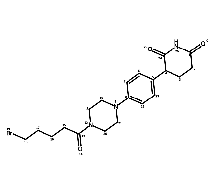 O=C1CCC(c2ccc(N3CCN(C(=O)CCCCBr)CC3)cc2)C(=O)N1